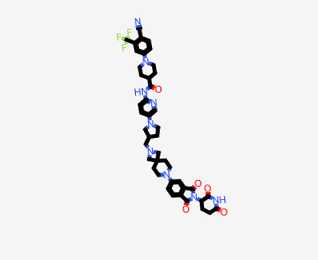 N#Cc1ccc(N2CCC(C(=O)Nc3ccc(N4CCC(CN5CC6(CCN(c7ccc8c(c7)C(=O)N(C7CCC(=O)NC7=O)C8=O)CC6)C5)C4)cn3)CC2)cc1C(F)(F)F